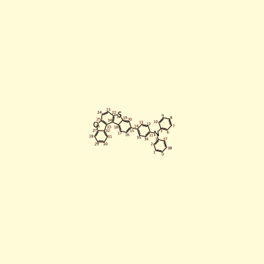 c1ccc(N(c2ccccc2)c2ccc(-c3ccc4c(c3)sc3ccc5oc6ccccc6c5c34)cc2)cc1